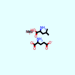 CC(C)CC(N)C(=O)O.NC(CCC(=O)[O-])C(=O)[O-].O.[Na+].[Na+]